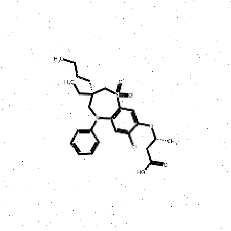 CCCC[C@@]1(CC)CN(c2ccccc2)c2cc(Cl)c(O[C@H](C)CC(=O)O)cc2S(=O)(=O)C1